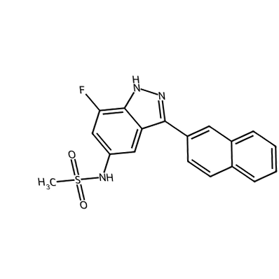 CS(=O)(=O)Nc1cc(F)c2[nH]nc(-c3ccc4ccccc4c3)c2c1